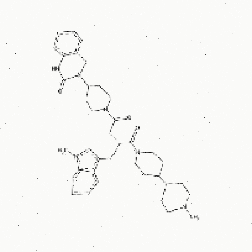 CN1CCC(C2CCN(C(=O)[C@@H](CC(=O)N3CCC(N4Cc5ccccc5NC4=O)CC3)Cc3cn(C)c4ccccc34)CC2)CC1